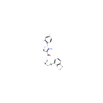 CC(C)(CC(O)(CNC(=O)c1cnn(-c2ccc(F)cc2F)c1N)C(F)(F)F)c1cccc2c1OCC2